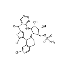 NS(=O)(=O)OC[C@H]1C[C@@H](Nc2ncncc2C(=O)c2cc(C3NCCc4ccc(Cl)cc43)c(Cl)s2)[C@H](O)[C@@H]1O